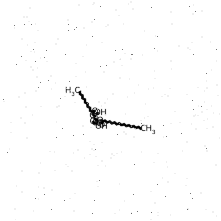 CCCCCCCCCCCCCCCCCC(=O)O[C@H]1[C@@H]([C@@H](CO)OC(=O)CCCCCCCCCCC)OC[C@@H]1O